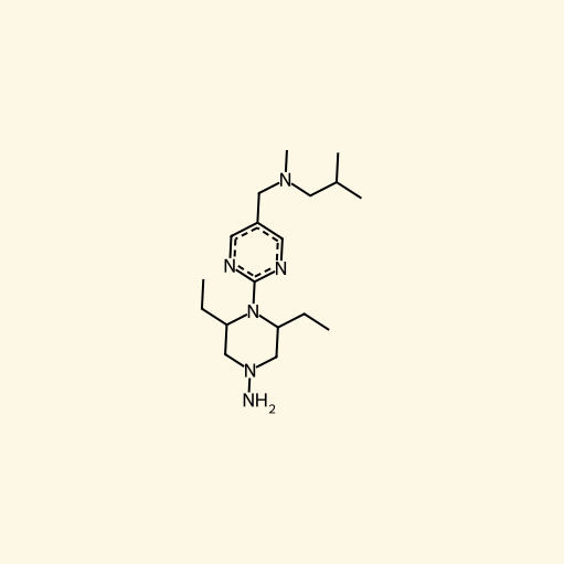 CCC1CN(N)CC(CC)N1c1ncc(CN(C)CC(C)C)cn1